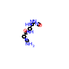 CC(C)(C(=O)Nc1ccc(-c2cc3c(N4CCOCC4)ncnc3[nH]2)cc1)c1cccc(N2CCC(N)C2)c1